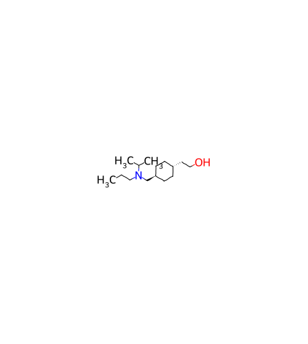 CCCN(C[C@H]1CC[C@H](CCO)CC1)C(C)C